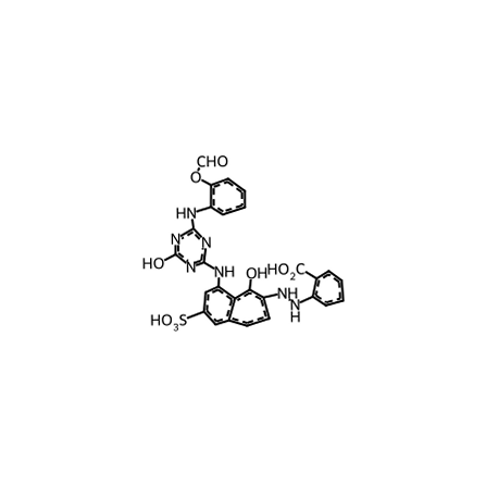 O=COc1ccccc1Nc1nc(O)nc(Nc2cc(S(=O)(=O)O)cc3ccc(NNc4ccccc4C(=O)O)c(O)c23)n1